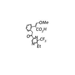 CCc1ncc(C(=O)Cc2ccccc2C(=COC)C(=O)O)nc1C(F)(F)F